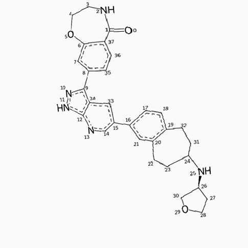 O=C1NCCOc2cc(-c3n[nH]c4ncc(-c5ccc6c(c5)CCC(N[C@H]5CCOC5)CC6)cc34)ccc21